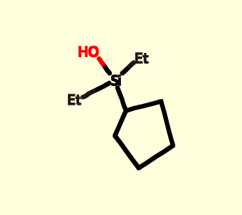 CC[Si](O)(CC)C1CCCC1